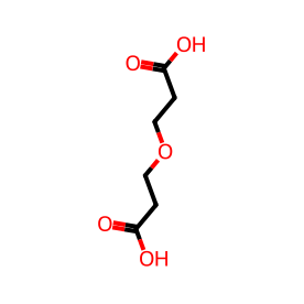 O=C(O)CCOCCC(=O)O